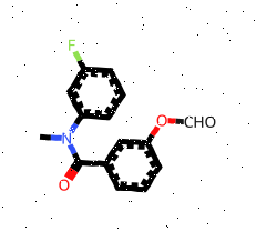 CN(C(=O)c1cccc(OC=O)c1)c1cccc(F)c1